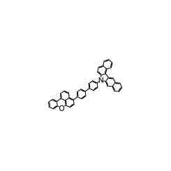 c1ccc2c(c1)Oc1ccc(-c3ccc(-c4ccc(-n5c6cc7ccccc7cc6c6c7ccccc7ccc65)cc4)cc3)c3cccc-2c13